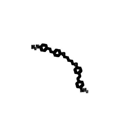 Nc1ccc(CCc2ccc(OCCCCCOc3ccc(CCc4ccc(N)cc4)cc3)cc2)cc1